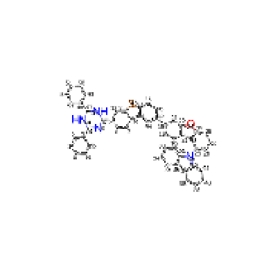 c1ccc(C2=NC(c3ccc4c(c3)sc3ccc(-c5ccc6c(c5)oc5cccc(-n7c8ccccc8c8ccccc87)c56)cc34)NC(c3ccccc3)N2)cc1